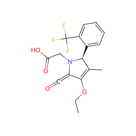 CCOC1=C(C)[C@H](c2ccccc2C(F)(F)F)N(CC(=O)O)C1=C=O